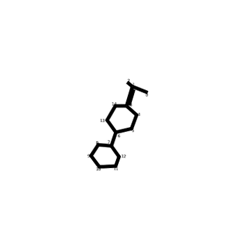 CC(C)=C1CCC(C2CCCCC2)CC1